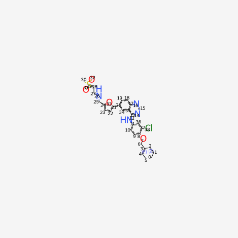 C/C=C\C(=C/C)COc1ccc(Nc2ncnc3ccc(-c4ccc(CNCCS(C)(=O)=O)o4)cc23)cc1Cl